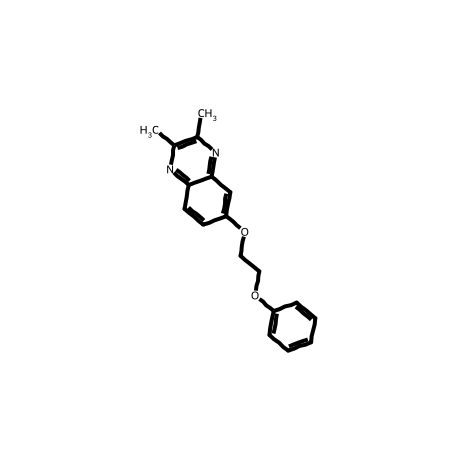 Cc1nc2ccc(OCCOc3ccccc3)cc2nc1C